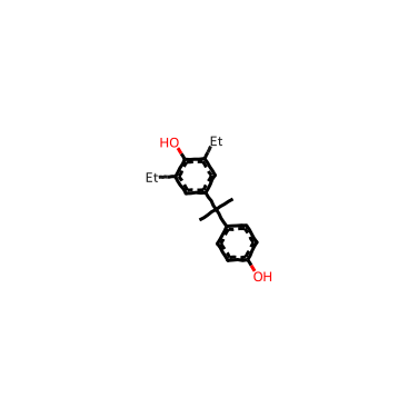 CCc1cc(C(C)(C)c2ccc(O)cc2)cc(CC)c1O